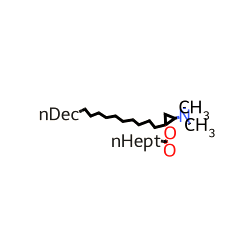 CCCCCCCCCCCCCCCCCCCCC1(OC(=O)CCCCCCC)CC1N(C)C